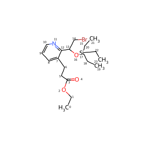 CCOC(=O)CCc1cccnc1C(CBr)O[Si](CC)(CC)CC